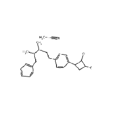 CC#N.CC(CCc1ccc(C2CC(Cl)C2Cl)cc1)N(C)Cc1ccccc1